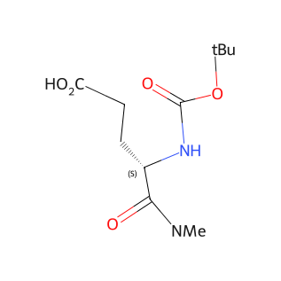 CNC(=O)[C@H](CCC(=O)O)NC(=O)OC(C)(C)C